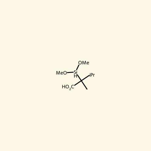 CO[SiH](OC)C(C)(C(=O)O)C(C)C